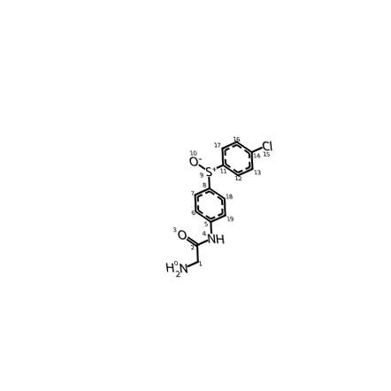 NCC(=O)Nc1ccc([S+]([O-])c2ccc(Cl)cc2)cc1